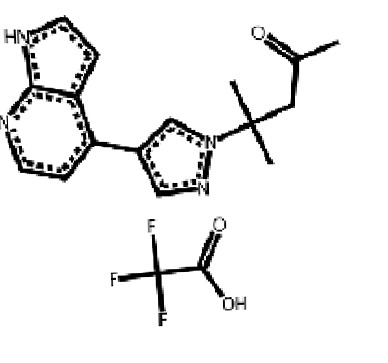 CC(=O)CC(C)(C)n1cc(-c2ccnc3[nH]ccc23)cn1.O=C(O)C(F)(F)F